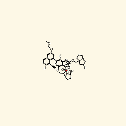 C#Cc1c(F)ccc2cc(OCOC)cc(-c3nc4c5c(nc(OCC67CCCN6CC(F)C7)nc5c3F)C3NC5CCC(C3CO4)N5C(=O)OC(C)(C)C)c12